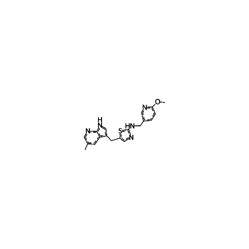 COc1ccc(CNc2ncc(Cc3c[nH]c4ncc(C)cc34)s2)cn1